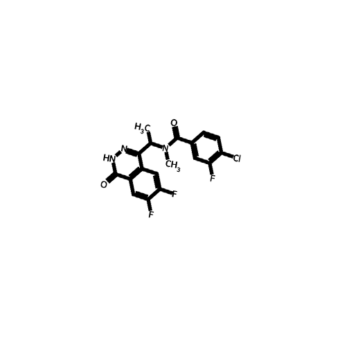 CC(c1n[nH]c(=O)c2cc(F)c(F)cc12)N(C)C(=O)c1ccc(Cl)c(F)c1